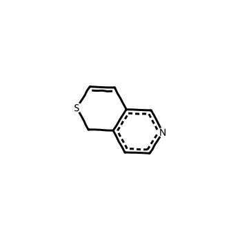 C1=Cc2cnccc2CS1